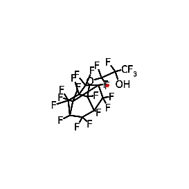 OC(F)(C(F)(F)F)C(F)(F)OC1(F)C2(F)C(F)(F)C3(F)C(F)(F)C(F)(C2(F)F)C(F)(F)C1(F)C3(F)F